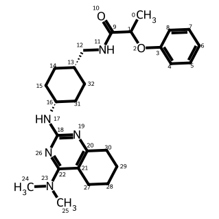 CC(Oc1ccccc1)C(=O)NC[C@H]1CC[C@@H](Nc2nc3c(c(N(C)C)n2)CCCC3)CC1